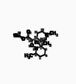 [CH2]CC1(C)CCCC(C)N1OC(C(=O)OC(C)(C)C)C1CCN(C)CC1